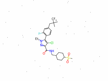 CCn1nc(C(=O)NCC2CCC(S(C)(=O)=O)CC2)c(Cl)c1-c1ccc(CC(C)(C)C(F)(F)F)cc1F